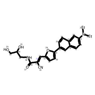 CCN(CC)c1ccc2cc(-c3ccc(/C=C(\C#N)C(=O)NCC(O)CO)o3)ccc2c1